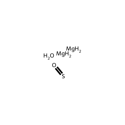 O.O=S.[MgH2].[MgH2]